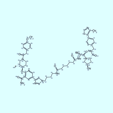 Cc1ncsc1-c1ccc(CNC(=O)[C@@H]2C[C@@H](O)CN2C(=O)[C@@H](NC(=O)CCCCCC(=O)NCCCCn2cnc(-c3cnc(O[C@@H]4CCN(C(=O)Cc5ccc(OC(F)(F)F)cc5)C[C@H]4F)c(C(N)=O)c3)c2)C(C)(C)C)cc1